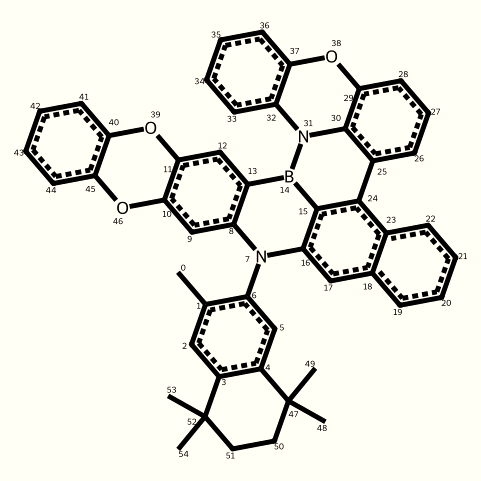 Cc1cc2c(cc1N1c3cc4c(cc3B3c5c1cc1ccccc1c5-c1cccc5c1N3c1ccccc1O5)Oc1ccccc1O4)C(C)(C)CCC2(C)C